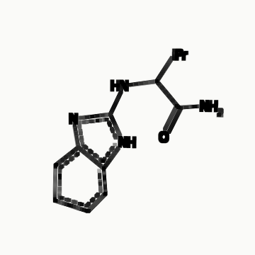 CC(C)C(Nc1nc2ccccc2[nH]1)C(N)=O